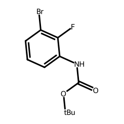 CC(C)(C)OC(=O)Nc1cccc(Br)c1F